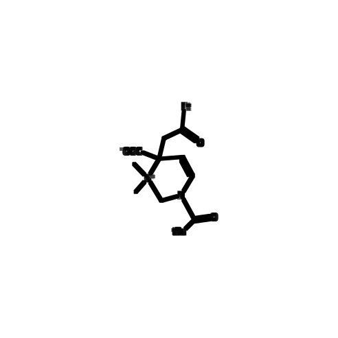 CCC(=O)CC1(C(=O)[O-])C=CN(C(=O)C(C)(C)C)C[N+]1(C)C